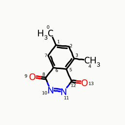 Cc1cc(C)c2c(c1)C(=O)N=NC2=O